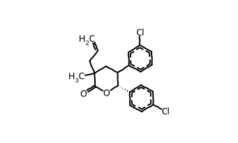 C=CCC1(C)CC(c2cccc(Cl)c2)[C@H](c2ccc(Cl)cc2)OC1=O